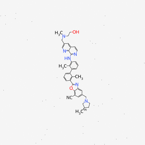 Cc1c(Nc2nccc3cc(CN(C)CCO)cnc23)cccc1-c1cccc(-c2nc3cc(CN4CC[C@@H](C)C4)cc(C#N)c3o2)c1C